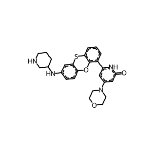 O=c1cc(N2CCOCC2)cc(-c2cccc3c2Oc2ccc(NC4CCCNC4)cc2S3)[nH]1